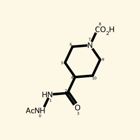 CC(=O)NNC(=O)C1CCN(C(=O)O)CC1